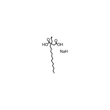 C=CCC(CCCCCCCCCCCC)(CC(=O)O)C(=O)O.[NaH]